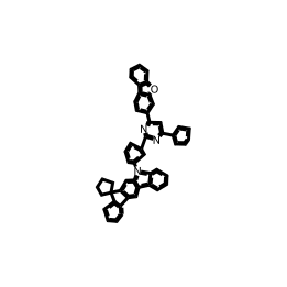 c1ccc(-c2cc(-c3ccc4c(c3)oc3ccccc34)nc(-c3cccc(-n4c5ccccc5c5cc6c(cc54)C4(CCCC4)c4ccccc4-6)c3)n2)cc1